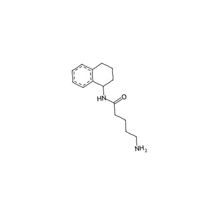 NCCCCC(=O)NC1CCCc2ccccc21